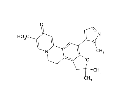 Cn1nccc1-c1cc2c(c3c1OC(C)(C)C3)CCn1cc(C(=O)O)c(=O)cc1-2